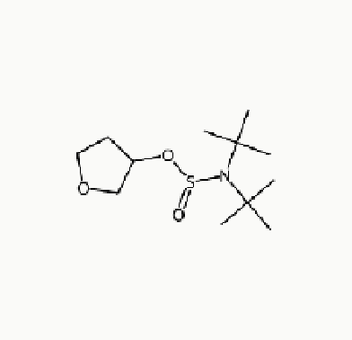 CC(C)(C)N(S(=O)OC1CCOC1)C(C)(C)C